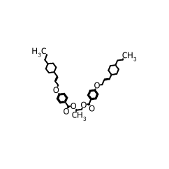 CCCC1CCC(C=CCOc2ccc(C(=O)OCC(C)OC(=O)c3ccc(OCC=CC4CCC(CCC)CC4)cc3)cc2)CC1